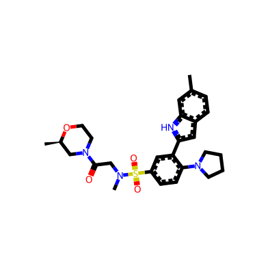 Cc1ccc2cc(-c3cc(S(=O)(=O)N(C)CC(=O)N4CCO[C@H](C)C4)ccc3N3CCCC3)[nH]c2c1